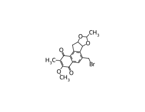 COC1=C(C)C(=O)c2c(cc(CBr)c3c2CC2OC(C)OC32)C1=O